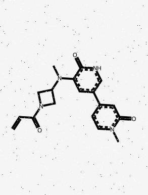 C=CC(=O)N1CC(N(C)c2cc(-c3ccn(C)c(=O)c3)c[nH]c2=O)C1